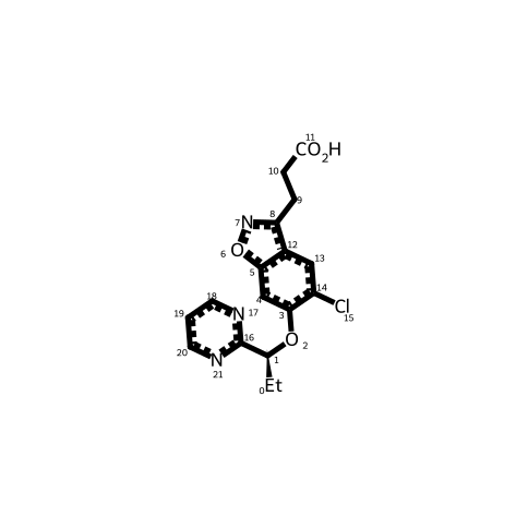 CC[C@H](Oc1cc2onc(CCC(=O)O)c2cc1Cl)c1ncccn1